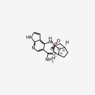 CS(=O)(=O)N1[C@@H]2CC[C@H]1C[C@H](Nc1c(C(N)=O)cnc3[nH]ccc13)C2